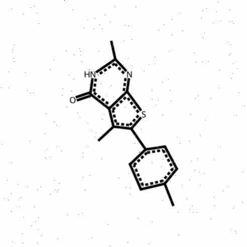 Cc1ccc(-c2sc3nc(C)[nH]c(=O)c3c2C)cc1